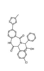 Cc1csc(-c2ccc3c(c2)C(=O)N(C(C(=O)O)c2ccccc2)C(c2ccc(Cl)cc2)C(=O)N3)c1